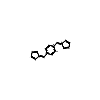 C1=CC(=Cc2ccc(C=C3C=CC=C3)cc2)C=C1